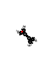 [2H]Oc1ccc(C2(c3ccc(O[2H])c(C)c3)CCC(C(C)(C)C3CCC(c4ccc(O[2H])c(C)c4)(c4ccc(O[2H])c(C)c4)CC3)CC2)cc1C